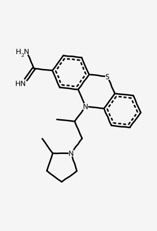 CC1CCCN1CC(C)N1c2ccccc2Sc2ccc(C(=N)N)cc21